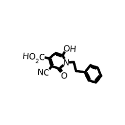 N#Cc1c(C(=O)O)cc(O)n(CCc2ccccc2)c1=O